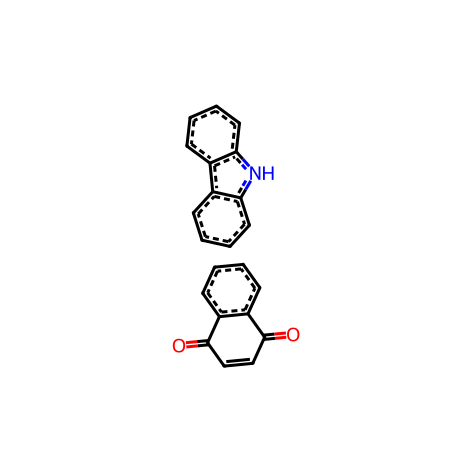 O=C1C=CC(=O)c2ccccc21.c1ccc2c(c1)[nH]c1ccccc12